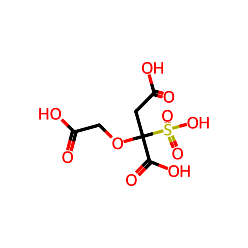 O=C(O)COC(CC(=O)O)(C(=O)O)S(=O)(=O)O